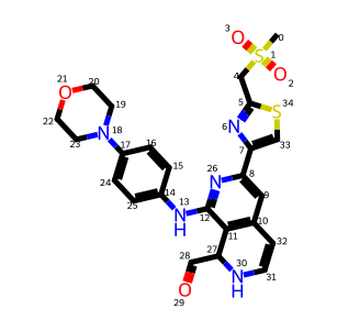 CS(=O)(=O)Cc1nc(-c2cc3c(c(Nc4ccc(N5CCOCC5)cc4)n2)C(C=O)NC=C3)cs1